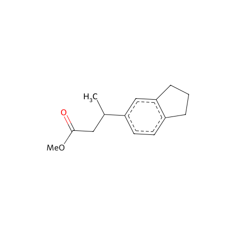 COC(=O)CC(C)c1ccc2c(c1)CCC2